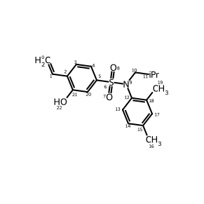 C=Cc1ccc(S(=O)(=O)N(CC(C)C)c2ccc(C)cc2C)cc1O